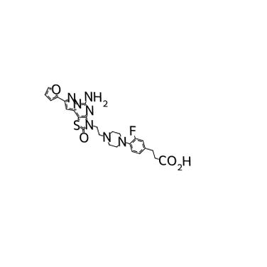 Nc1nc2c(sc(=O)n2CCN2CCN(c3ccc(CCC(=O)O)cc3F)CC2)c2cc(-c3ccco3)nn12